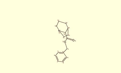 O=C(OCc1ccccc1)C1C2CCCN1CC2